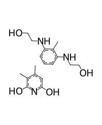 Cc1c(NCCO)cccc1NCCO.Cc1cc(O)nc(O)c1C